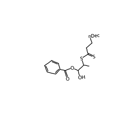 CCCCCCCCCCCCC(=S)SC(C)C(O)OC(=O)c1ccccc1